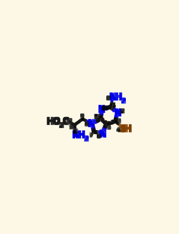 Nc1nc(S)c2ncn(CC(N)C(=O)O)c2n1